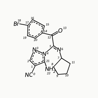 N#Cc1cnn(/C(=N\C2CCCC2)C(=O)c2ccc(Br)cc2)c1N